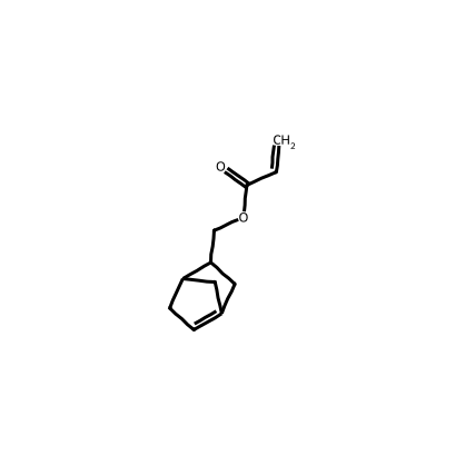 C=CC(=O)OCC1CC2=CCC1C2